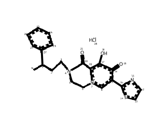 CC(CCN1CCn2cc(-c3nccs3)c(=O)c(O)c2C1=O)c1ccccc1.Cl